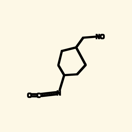 O=C=NC1CCC(CN=O)CC1